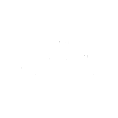 CCCc1cc(N/C=C(\C=N)c2ncc(NC3CCOCC3)cc2C(F)(F)F)ccn1